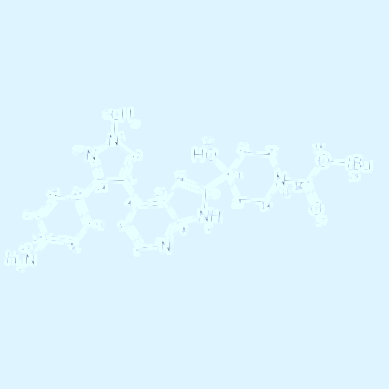 Cn1cc(-c2ccnc3[nH]c(C4(O)CCN(C(=O)OC(C)(C)C)CC4)cc23)c(-c2ccc(N)cc2)n1